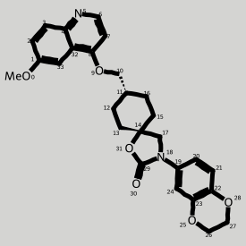 COc1ccc2nccc(OC[C@H]3CC[C@@]4(CC3)CN(c3ccc5c(c3)OCCO5)C(=O)O4)c2c1